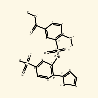 COC(=O)c1ccc(OC)c(S(=O)(=O)Nc2cc(S(C)(=O)=O)ccc2-c2cccs2)c1